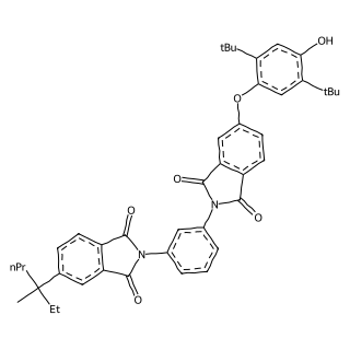 CCCC(C)(CC)c1ccc2c(c1)C(=O)N(c1cccc(N3C(=O)c4ccc(Oc5cc(C(C)(C)C)c(O)cc5C(C)(C)C)cc4C3=O)c1)C2=O